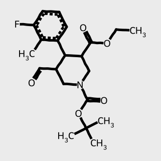 CCOC(=O)C1CN(C(=O)OC(C)(C)C)CC(C=O)C1c1cccc(F)c1C